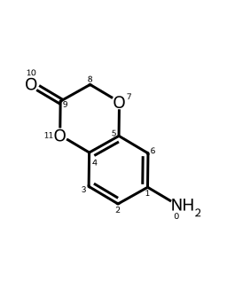 Nc1ccc2c(c1)OCC(=O)O2